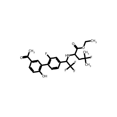 CCOC(=O)C(CC(C)(C)F)NC(c1ccc(-c2cc(C(C)=O)ccc2O)c(F)c1)C(F)(F)F